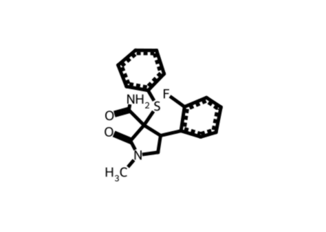 CN1CC(c2ccccc2F)C(Sc2ccccc2)(C(N)=O)C1=O